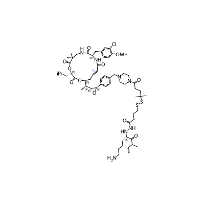 C=CC(C)C(=O)[C@H](CCCCN)NNC(=O)CCCSSC(C)(C)CCC(=O)N1CCN(Cc2ccc([C@H]3O[C@@H]3[C@@H](C)[C@@H]3C/C=C/C(=O)N[C@H](Cc4ccc(OC)c(Cl)c4)C(=O)NCC(C)(C)C(=O)O[C@@H](CC(C)C)C(=O)O3)cc2)CC1